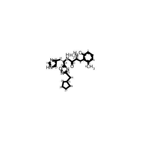 Cc1cccc(C)c1C[C@H](N)C(=O)N[C@@H](Cc1c[nH]cn1)c1nc(CC2CCCC2)no1